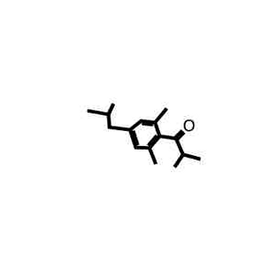 Cc1cc(CC(C)C)cc(C)c1C(=O)C(C)C